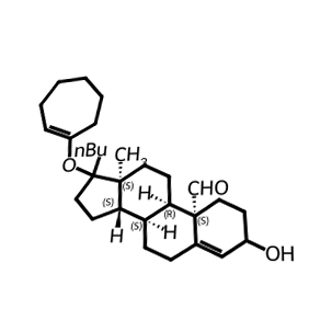 CCCCC1(OC2=CCCCCC2)CC[C@H]2[C@@H]3CCC4=CC(O)CC[C@]4(C=O)[C@@H]3CC[C@@]21C